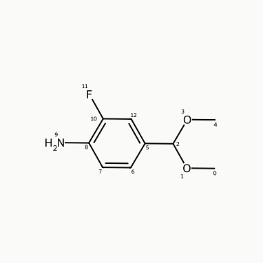 COC(OC)c1ccc(N)c(F)c1